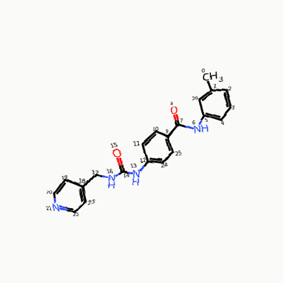 Cc1cccc(NC(=O)c2ccc(NC(=O)NCc3ccncc3)cc2)c1